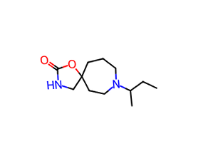 CCC(C)N1CCCC2(CC1)CNC(=O)O2